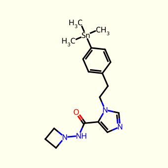 [CH3][Sn]([CH3])([CH3])[c]1ccc(CCn2cncc2C(=O)NN2CCC2)cc1